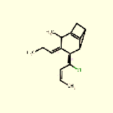 C\C=C/C(Cl)=C1\C(=C\CC)C(C)C2=C3C(C2)C31